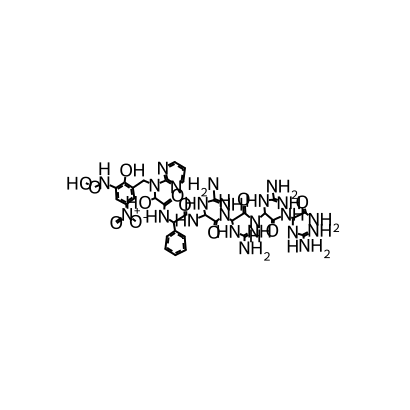 N=C(N)NC(NC(=O)C(NC(=N)N)NC(=O)C(NC(=N)N)NC(=O)C(NC(=N)N)NC(=O)C(NC(=O)C(O)N(Cc1cc([N+](=O)[O-])cc(NOO)c1O)c1ncccn1)c1ccccc1)C(N)=O